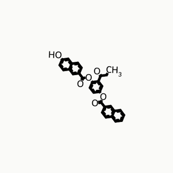 CCC(=O)c1cc(OC(=O)c2ccc3ccccc3c2)ccc1OC(=O)c1ccc2cc(O)ccc2c1